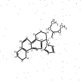 COC(C[C@@]1(n2cccc2)CCCc2c1ccc1c3c(ccc21)C=CCC3)OC